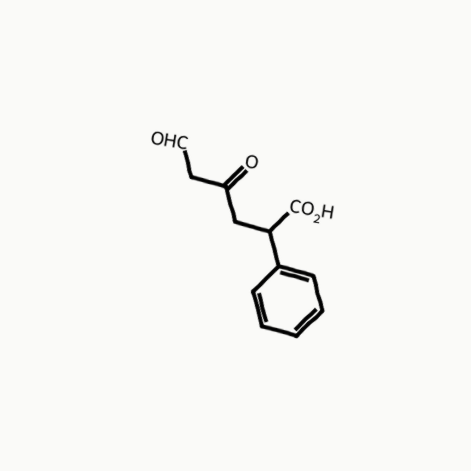 O=CCC(=O)CC(C(=O)O)c1ccccc1